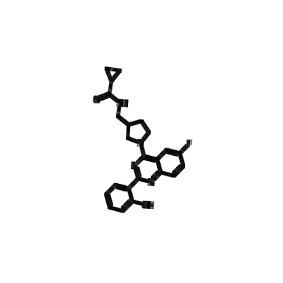 O=C(NCC1CCN(c2nc(-c3ccccc3O)nc3ccc(F)cc23)C1)C1CC1